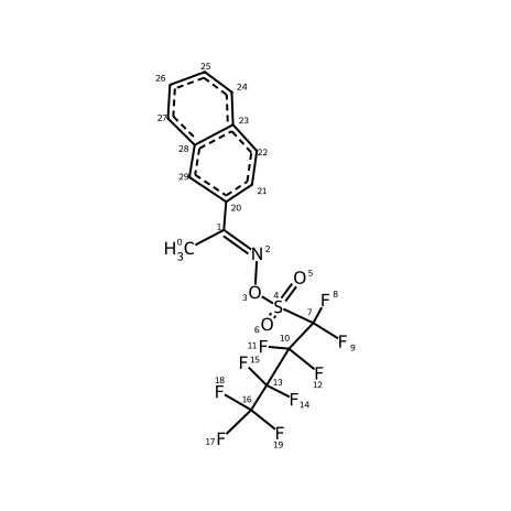 C/C(=N\OS(=O)(=O)C(F)(F)C(F)(F)C(F)(F)C(F)(F)F)c1ccc2ccccc2c1